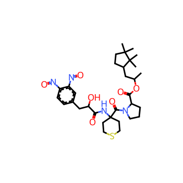 CC(CC1CCC(C)(C)C1(C)C)OC(=O)C1CCCN1C(=O)C1(NC(=O)C(O)Cc2ccc(N=O)c(N=O)c2)CCSCC1